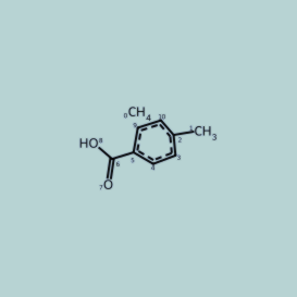 C.Cc1ccc(C(=O)O)cc1